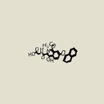 COc1nc(C(=O)NCC(=O)O)c(O)c2ccc(Oc3cccc4ccccc34)cc12